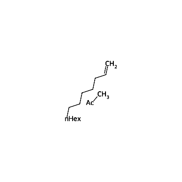 C=CCCCCCCCCCCC.CC(C)=O